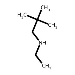 CCNCC(C)(C)C